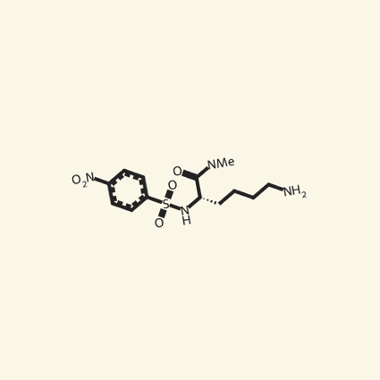 CNC(=O)[C@H](CCCCN)NS(=O)(=O)c1ccc([N+](=O)[O-])cc1